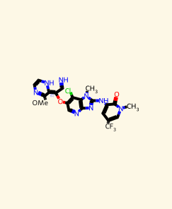 COC1=NC=CN/C1=C(\C=N)Oc1cnc2nc(Nc3cc(C(F)(F)F)cn(C)c3=O)n(C)c2c1Cl